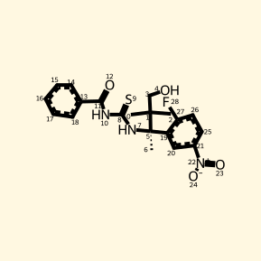 CC(C)(CO)[C@](C)(NC(=S)NC(=O)c1ccccc1)c1cc([N+](=O)[O-])ccc1F